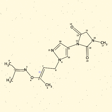 CC(C)=NO/C(C)=C/Cn1cc(N2C(=O)CN(C)C2=O)cn1